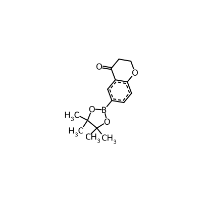 CC1(C)OB(c2ccc3c(c2)C(=O)CCO3)OC1(C)C